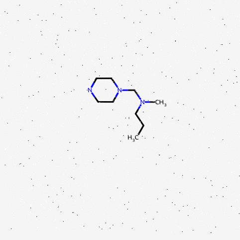 CCCN(C)CN1CC[N]CC1